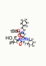 CC(C)C[C@@H](NC(=O)C(Cc1ccccc1)NC(=O)CN(CCc1ccccc1)C(=O)OC(C)(C)C)C(=O)O